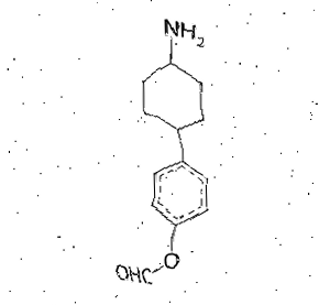 NC1CCC(c2ccc(OC=O)cc2)CC1